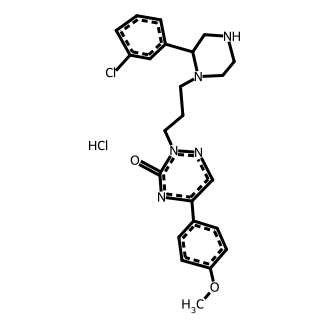 COc1ccc(-c2cnn(CCCN3CCNCC3c3cccc(Cl)c3)c(=O)n2)cc1.Cl